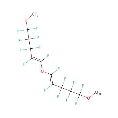 FC(OC(F)=C(F)C(F)(F)C(F)(F)C(F)(F)OC(F)(F)F)=C(F)C(F)(F)C(F)(F)C(F)(F)OC(F)(F)F